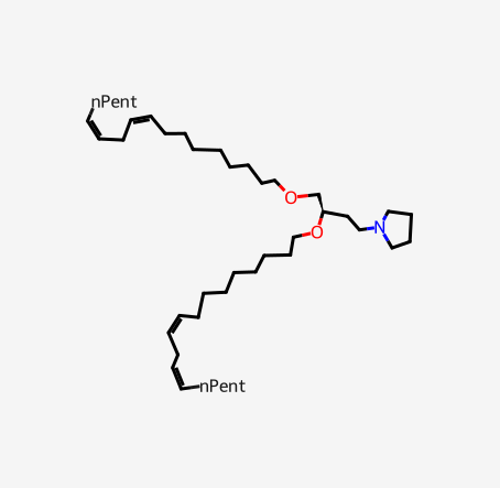 CCCCC/C=C\C/C=C\CCCCCCCCOC[C@@H](CCN1CCCC1)OCCCCCCCC/C=C\C/C=C\CCCCC